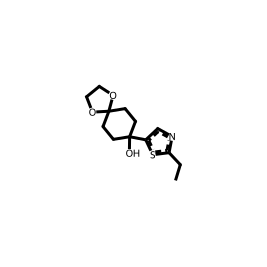 CCc1ncc(C2(O)CCC3(CC2)OCCO3)s1